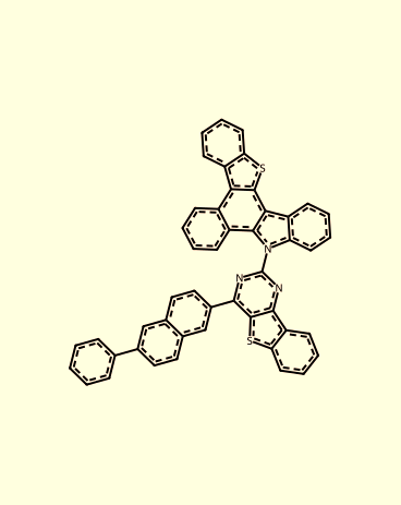 c1ccc(-c2ccc3cc(-c4nc(-n5c6ccccc6c6c7sc8ccccc8c7c7ccccc7c65)nc5c4sc4ccccc45)ccc3c2)cc1